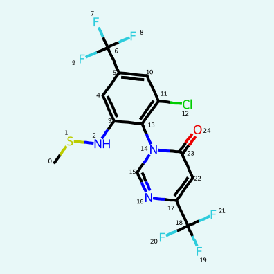 CSNc1cc(C(F)(F)F)cc(Cl)c1-n1cnc(C(F)(F)F)cc1=O